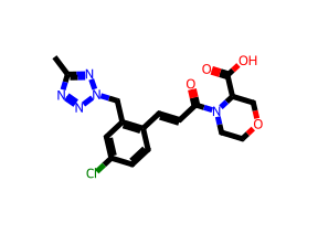 Cc1nnn(Cc2cc(Cl)ccc2/C=C/C(=O)N2CCOCC2C(=O)O)n1